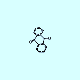 O=C1c2c[c]ccc2C(=O)c2ccccc21